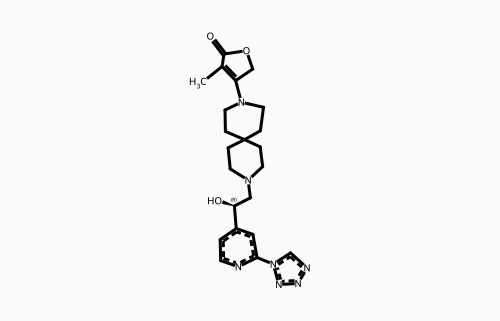 CC1=C(N2CCC3(CCN(C[C@H](O)c4ccnc(-n5cnnn5)c4)CC3)CC2)COC1=O